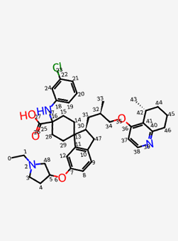 CCN1CCC(Oc2ccc3c(c2)C2(CCC(Nc4cccc(Cl)c4)(C(=O)O)CC2)[C@@H](C[C@@H](C)COc2ccnc4c2[C@H](C)CCC4)C3)C1